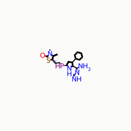 C=c1/c(=C\CPc2cc(-c3ccccc3)c(/C(N)=N\C=N)[nH]2)sc(=O)n1C